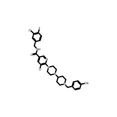 N#Cc1ccc(CN2CCC(N3CCN(c4ncc(C(=O)NCc5ccc(F)c(Cl)c5)cc4Cl)CC3)CC2)cc1